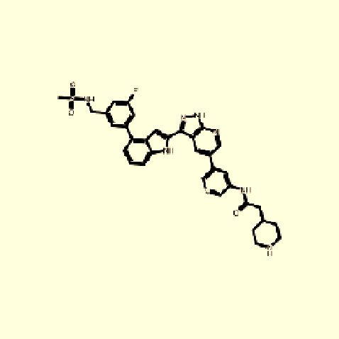 CS(=O)(=O)NCc1cc(F)cc(-c2cccc3[nH]c(-c4n[nH]c5ncc(-c6cncc(NC(=O)CC7CCNCC7)c6)cc45)cc23)c1